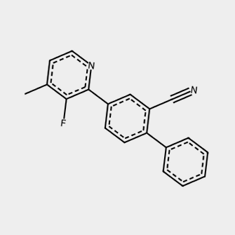 Cc1ccnc(-c2ccc(-c3ccccc3)c(C#N)c2)c1F